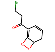 O=C(CCBr)C1=C2OOC2CC=C1